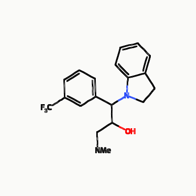 CNCC(O)C(c1cccc(C(F)(F)F)c1)N1CCc2ccccc21